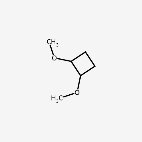 COC1CCC1OC